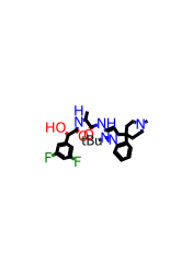 CC(NC(=O)C(O)c1cc(F)cc(F)c1)C(=O)Nc1cc(C2(c3ccccc3)CCN(C)CC2)nn1C(C)(C)C